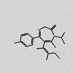 C=C1CN=C(c2ccc(C)cc2)C(/C(C)=C(/C)CC)=C(C)N1C(C)C